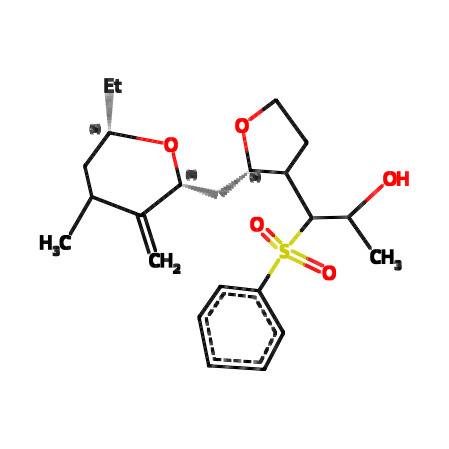 C=C1C(C)C[C@H](CC)O[C@@H]1C[C@@H]1OCCC1C(C(C)O)S(=O)(=O)c1ccccc1